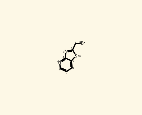 BrCc1nc2ncccc2s1